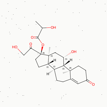 CC(O)C(=O)O[C@]1(C(=O)CO)CC[C@H]2[C@@H]3CCC4=CC(=O)CC[C@]4(C)[C@H]3[C@@H](O)C[C@@]21C